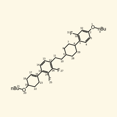 CCCCOc1ccc(C2CCC(CCc3ccc(C4=CCC(OCCCC)CC4)c(F)c3F)CC2)c(F)c1